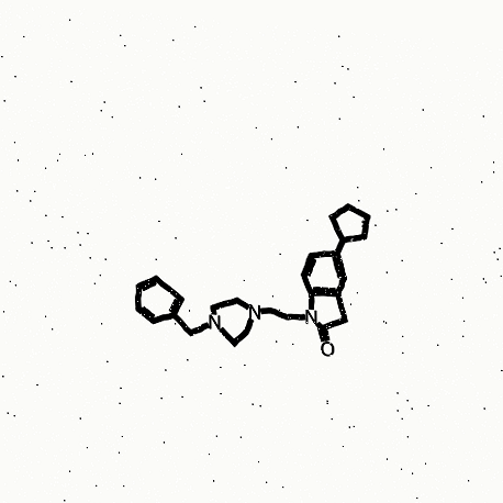 O=C1Cc2cc(C3CCCC3)ccc2N1CCN1CCN(Cc2ccccc2)CC1